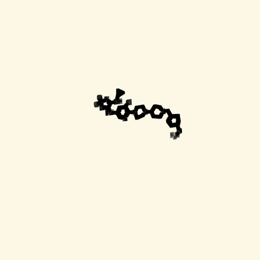 O=S1(=O)N=C(Nc2cnc(N3CCN(C4CCN(Cc5ccc(OC(F)(F)F)cc5)CC4)CC3)c(Cl)c2)C(NC2CC2)=N1